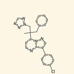 CC(Cc1ccccc1)(Cn1ncnn1)c1ccnc2c(-c3ccc(Cl)cc3)cnn12